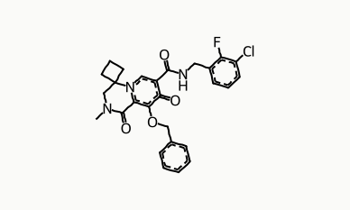 CN1CC2(CCC2)n2cc(C(=O)NCc3cccc(Cl)c3F)c(=O)c(OCc3ccccc3)c2C1=O